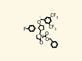 C[C@@H](O[C@H]1CC[C@@H]([C@H]2CCC(=O)N2C(=O)OCc2ccccc2)[C@@H]1c1ccc(F)cc1)c1cc(C(F)(F)F)cc(C(F)(F)F)c1